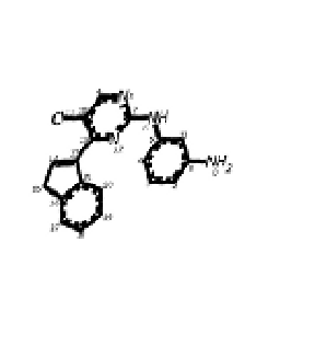 Nc1cccc(Nc2ncc(Cl)c(C3=CCc4ccccc43)n2)c1